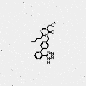 CCCCc1ncc(COC)c(=O)n1Cc1ccc(-c2ccccc2-c2nnn[nH]2)cc1